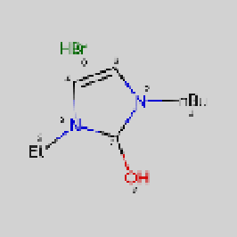 Br.CCCCN1C=CN(CC)C1O